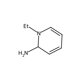 CCN1C=CC=CC1N